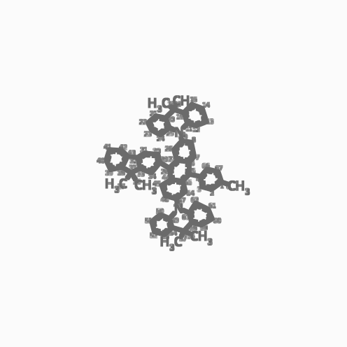 Cc1ccc(-c2c3ccc(N4c5ccccc5C(C)(C)c5ccccc54)cc3c(-c3ccc4c(c3)C(C)(C)c3ccccc3-4)c3ccc(N4c5ccccc5C(C)(C)c5ccccc54)cc23)cc1